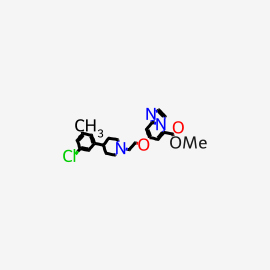 COC(=O)c1cc(OCCN2CCC(c3cc(C)cc(Cl)c3)CC2)cc2nccn12